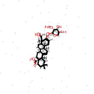 CC1(C)CC[C@]2(C(=O)O)CC[C@]3(C)C(=CC[C@@H]4[C@@]5(C)CC[C@H](O[C@@H]6OC[C@H](O)[C@H](O)[C@H]6O)[C@@](C)(CO)[C@@H]5CC[C@]43C)[C@@H]2C1